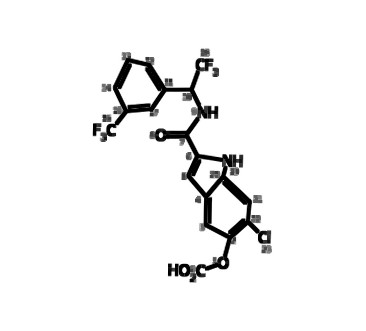 O=C(O)Oc1cc2cc(C(=O)NC(c3cccc(C(F)(F)F)c3)C(F)(F)F)[nH]c2cc1Cl